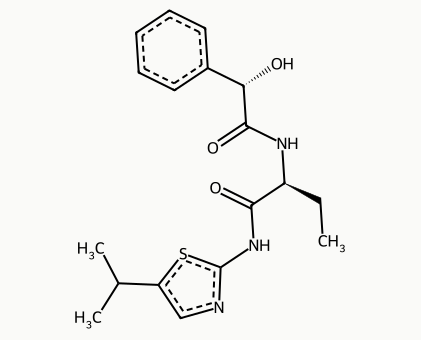 CC[C@H](NC(=O)[C@@H](O)c1ccccc1)C(=O)Nc1ncc(C(C)C)s1